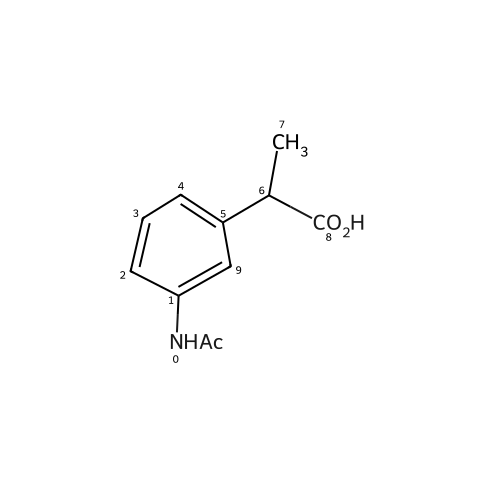 CC(=O)Nc1cccc(C(C)C(=O)O)c1